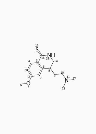 COc1ccc2c(c1)C(CCN(C)C)CNC2=S